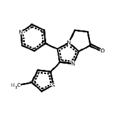 Cc1csc(-c2nc3n(c2-c2ccncc2)CCC3=O)c1